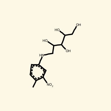 Cc1ccc(NCC(O)C(O)C(O)CO)cc1[N+](=O)[O-]